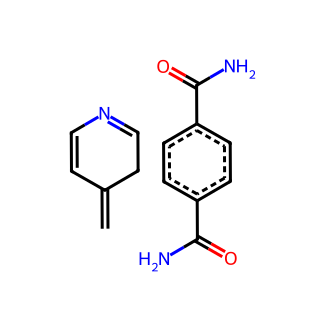 C=C1C=CN=CC1.NC(=O)c1ccc(C(N)=O)cc1